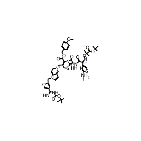 COc1ccc(COC(=O)C2=C(C[n+]3ccc4c(ccn4Cc4cc(C(=N)NC(=O)OC(C)(C)C)co4)c3)CS[C@@H]3[C@H](NC(=O)/C(=N\OC(C)(C)C(=O)OC(C)(C)C)c4csc(N)n4)C(=O)N23)cc1.[I-]